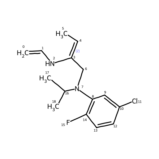 C=CN/C(=C\C)CN(c1cc(Cl)ccc1F)C(C)C